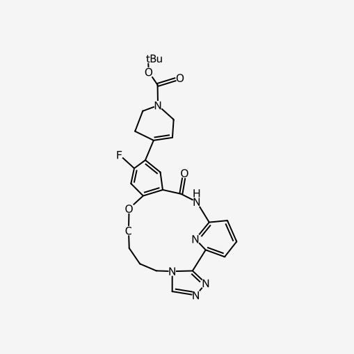 CC(C)(C)OC(=O)N1CC=C(c2cc3c(cc2F)OCCCCn2cnnc2-c2cccc(n2)NC3=O)CC1